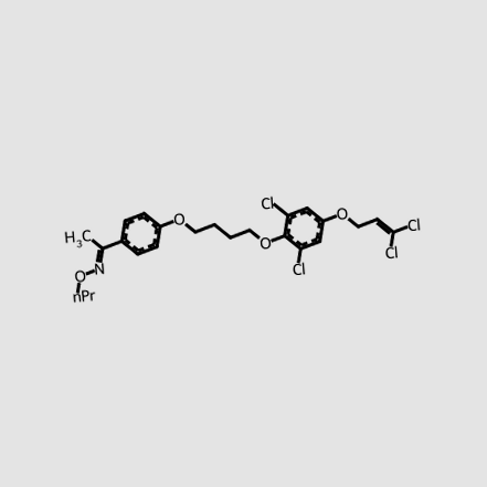 CCCON=C(C)c1ccc(OCCCCOc2c(Cl)cc(OCC=C(Cl)Cl)cc2Cl)cc1